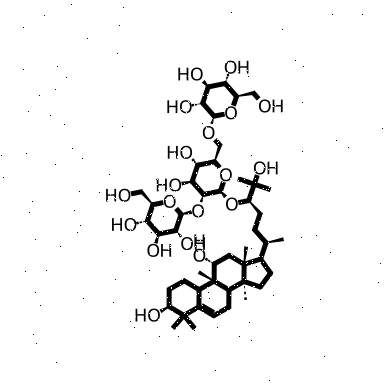 C[C@H](CC[C@@H](O[C@@H]1O[C@H](CO[C@H]2O[C@H](CO)[C@@H](O)[C@H](O)[C@H]2O)[C@@H](O)[C@H](O)[C@H]1O[C@@H]1O[C@H](CO)[C@@H](O)[C@H](O)[C@H]1O)C(C)(C)O)C1CC[C@@]2(C)C3CC=C4C(CC[C@H](O)C4(C)C)[C@]3(C)[C@H](O)C[C@]12C